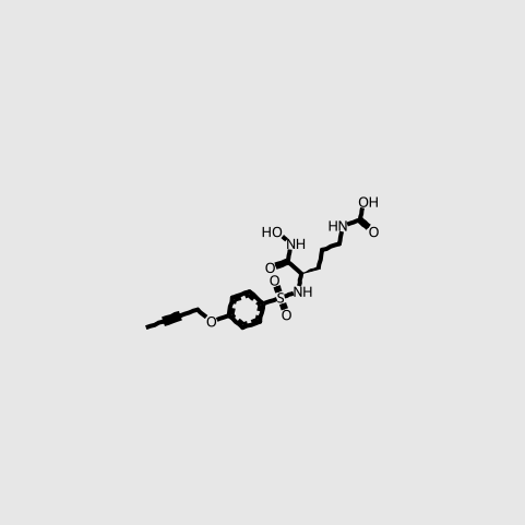 CC#CCOc1ccc(S(=O)(=O)N[C@H](CCCNC(=O)O)C(=O)NO)cc1